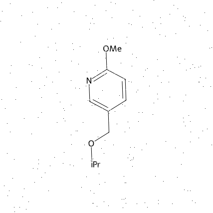 COc1ccc(COC(C)C)cn1